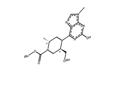 COC[C@H]1CN(C(=O)OC(C)(C)C)[C@H](C)CN1c1nc(O)nc2c1ncn2C